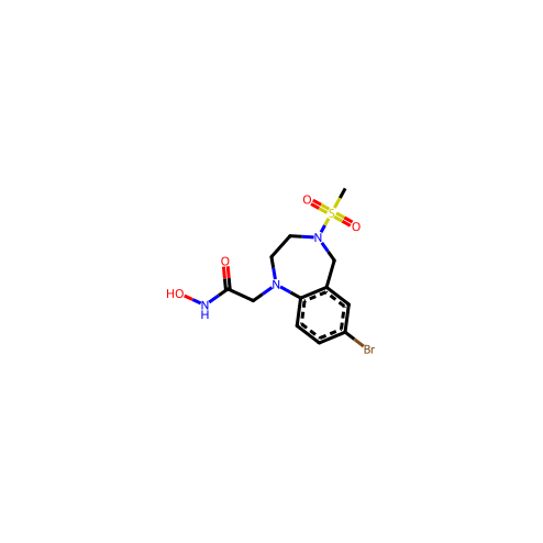 CS(=O)(=O)N1CCN(CC(=O)NO)c2ccc(Br)cc2C1